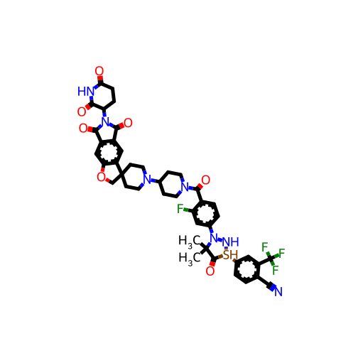 CC1(C)C(=O)[SH](c2ccc(C#N)c(C(F)(F)F)c2)NN1c1ccc(C(=O)N2CCC(N3CCC4(CC3)COc3cc5c(cc34)C(=O)N(C3CCC(=O)NC3=O)C5=O)CC2)c(F)c1